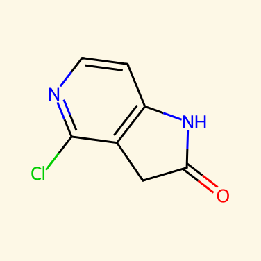 O=C1Cc2c(ccnc2Cl)N1